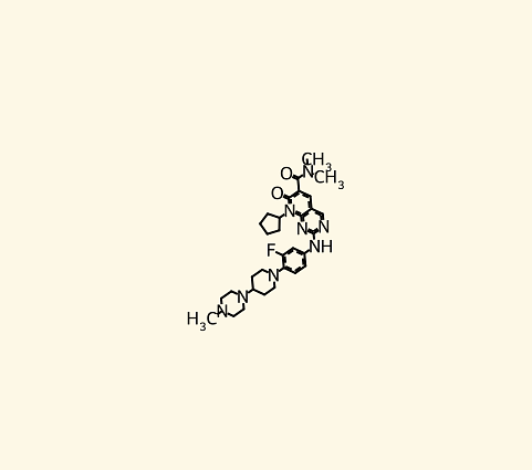 CN1CCN(C2CCN(c3ccc(Nc4ncc5cc(C(=O)N(C)C)c(=O)n(C6CCCC6)c5n4)cc3F)CC2)CC1